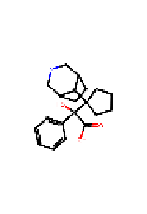 O=C(O)C(O)(c1ccccc1)C1(C2C3CCC2CNC3)CCCC1